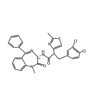 Cc1nc(C(Cc2ccc(Cl)c(Cl)c2)C(=O)N[C@H]2N=C(c3ccccc3)c3ccccc3N(C)C2=O)cs1